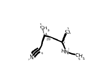 CNC(Cl)[C@@H](C)C#N